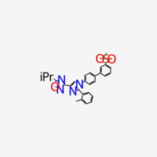 Cc1ccccc1-c1nc(-c2noc(C(C)C)n2)cn1-c1ccc(-c2cccc(S(C)(=O)=O)c2)cc1